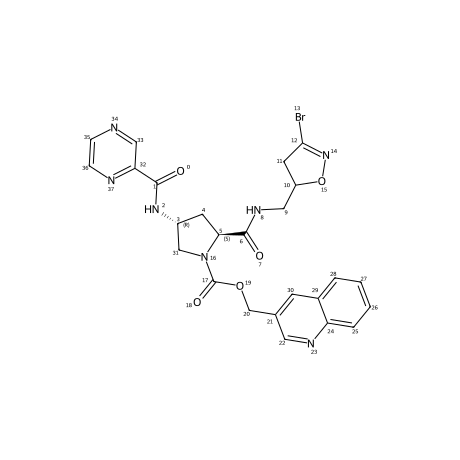 O=C(N[C@@H]1C[C@@H](C(=O)NCC2CC(Br)=NO2)N(C(=O)OCc2cnc3ccccc3c2)C1)c1cnccn1